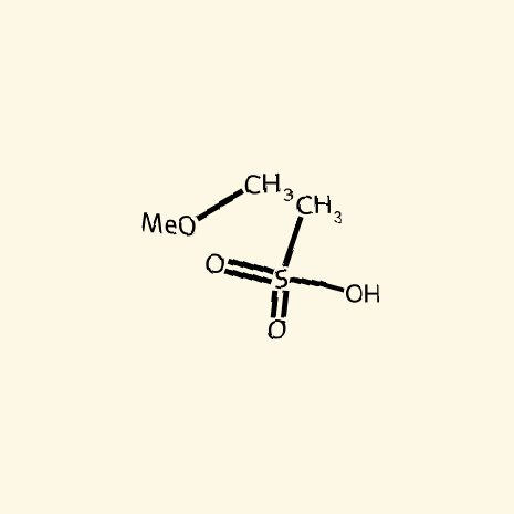 COC.CS(=O)(=O)O